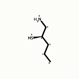 CCC[C@@H](S)CN